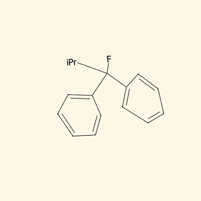 CC(C)C(F)(c1ccccc1)c1ccccc1